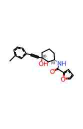 Cc1cccc(C#C[C@]2(O)CCC[C@H](NC(=O)c3ccco3)C2)c1